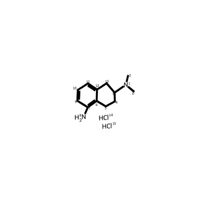 CN(C)C1CCc2c(N)cccc2C1.Cl.Cl